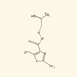 Cc1nc(C(=O)NOCC(C)O)c(Cl)s1